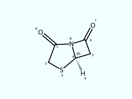 O=C1CS[C@@H]2CC(=O)N12